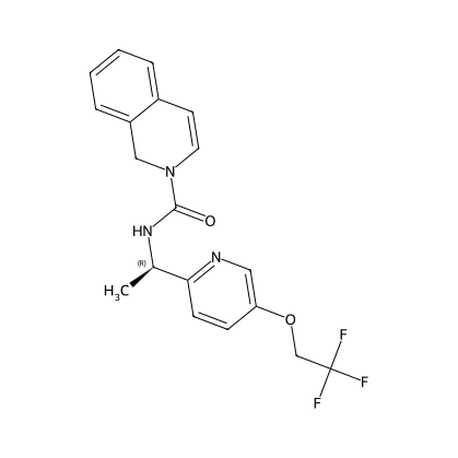 C[C@@H](NC(=O)N1C=Cc2ccccc2C1)c1ccc(OCC(F)(F)F)cn1